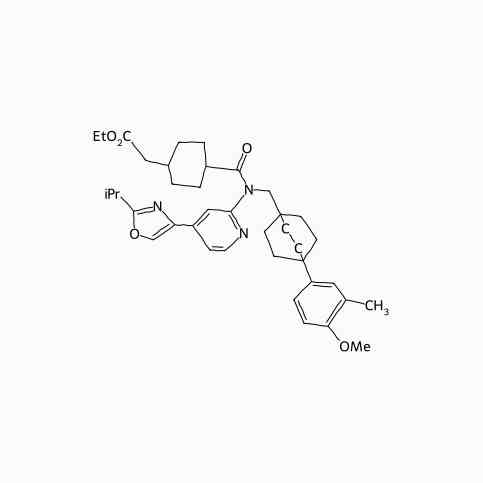 CCOC(=O)CC1CCC(C(=O)N(CC23CCC(c4ccc(OC)c(C)c4)(CC2)CC3)c2cc(-c3coc(C(C)C)n3)ccn2)CC1